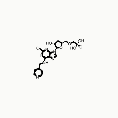 O=P(O)(O)COC[C@@H]1C[C@@H](O)[C@H](n2cnc3c(NCc4ccncc4)nc(Cl)nc32)O1